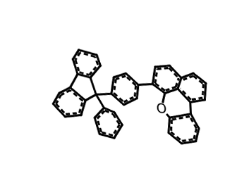 c1ccc(C2(c3ccc(-c4ccc5cccc6c5c4Oc4ccccc4-6)cc3)c3ccccc3-c3ccccc32)cc1